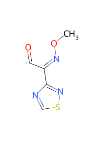 CO/N=C(\[C]=O)c1ncsn1